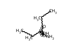 CCCCCCCCCC(C)CCCCCCC(=O)OC[C@H](COP(=O)(O)OCCN)OC(=O)CCCCCCC(C)CCCCCCCCC